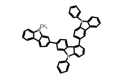 Cn1c2ccccc2c2ccc(-c3ccc4c5c(-c6ccc7c(c6)c6ccccc6n7-c6ccccc6)cccc5n(-c5ccccc5)c4c3)cc21